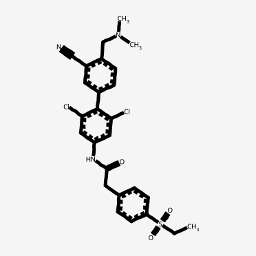 CCS(=O)(=O)c1ccc(CC(=O)Nc2cc(Cl)c(-c3ccc(CN(C)C)c(C#N)c3)c(Cl)c2)cc1